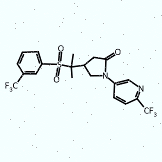 CC(C)(C1CC(=O)N(c2ccc(C(F)(F)F)nc2)C1)S(=O)(=O)c1cccc(C(F)(F)F)c1